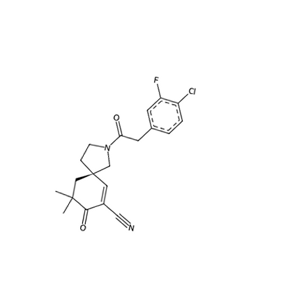 CC1(C)C[C@@]2(C=C(C#N)C1=O)CCN(C(=O)Cc1ccc(Cl)c(F)c1)C2